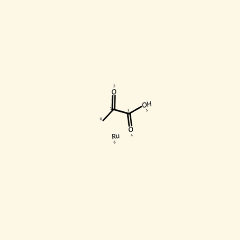 CC(=O)C(=O)O.[Ru]